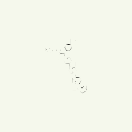 CC[C@H]1CN(c2ncc(-c3ncc[nH]3)cc2Cl)CCN1C1CCN([C@H](C(=O)OC)c2ccc(Br)cc2)CC1